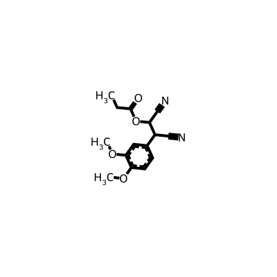 CCC(=O)OC(C#N)C(C#N)c1ccc(OC)c(OC)c1